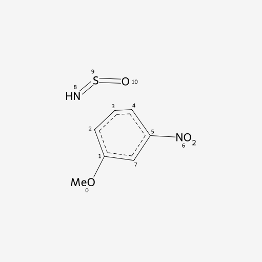 COc1cccc([N+](=O)[O-])c1.N=S=O